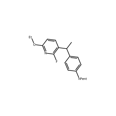 CCCCCc1ccc(C(C)c2ccc(OCC)nc2F)cc1